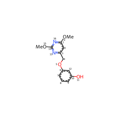 COc1cc(COc2cccc(O)c2)nc(OC)n1